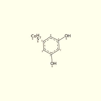 Oc1cccc(O)c1.S.[Co]